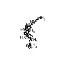 CC(CSCC(N)C(=O)O)C(=O)CC[C@@H](C)C1CCC2C3C(CC[C@@]21C)[C@@]1(C)CC[C@H](NCCCNCCCCN)C[C@@H]1C[C@H]3O